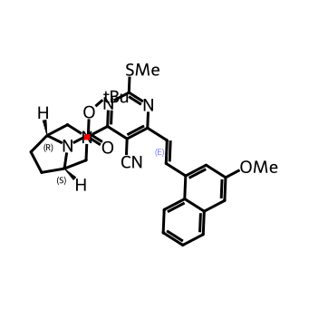 COc1cc(/C=C/c2nc(SC)nc(N3C[C@H]4CC[C@@H](C3)N4C(=O)OC(C)(C)C)c2C#N)c2ccccc2c1